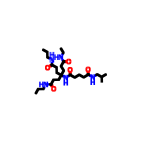 CCCNC(=O)CCC(CCC(=O)NCC)(CCC(=O)NCCC)NC(=O)CCCC(=O)NCC(C)C